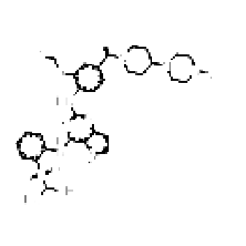 CCOc1cc(C(=O)N2CCC(N3CCN(C)CC3)CC2)ccc1Nc1nc(Nc2ccccc2S(=O)(=O)C(C)C)c2c(ccn2C)n1